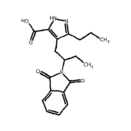 CCCc1n[nH]c(C(=O)O)c1CC(CC)N1C(=O)c2ccccc2C1=O